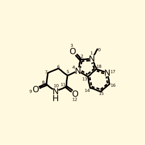 Cn1c(=O)n(C2CCC(=O)NC2=O)c2cccnc21